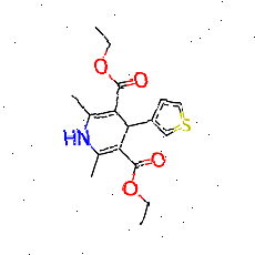 CCOC(=O)C1=C(C)NC(C)=C(C(=O)OCC)C1c1ccsc1